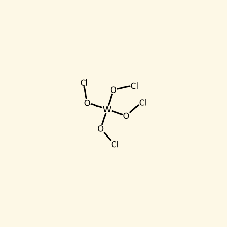 Cl[O][W]([O]Cl)([O]Cl)[O]Cl